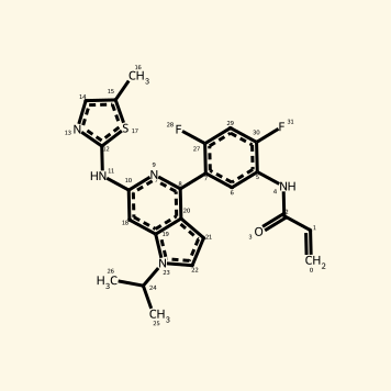 C=CC(=O)Nc1cc(-c2nc(Nc3ncc(C)s3)cc3c2ccn3C(C)C)c(F)cc1F